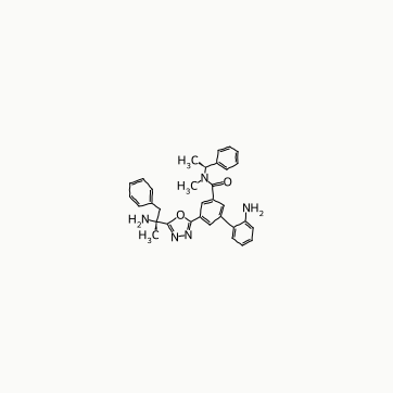 C[C@@H](c1ccccc1)N(C)C(=O)c1cc(-c2nnc([C@](C)(N)Cc3ccccc3)o2)cc(-c2ccccc2N)c1